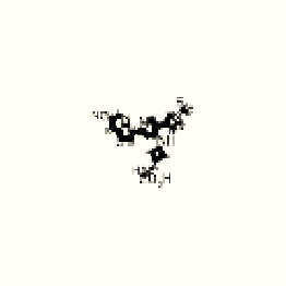 N#Cc1cnn2c(-c3cc(N[C@H]4C[C@H](CNC(=O)O)C4)c(-c4cn(C(F)F)nn4)cn3)ccc2c1